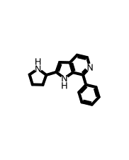 c1ccc(-c2nccc3cc(C4CCCN4)[nH]c23)cc1